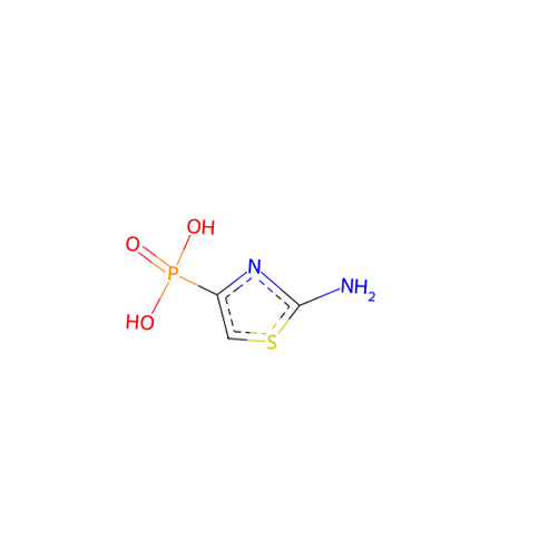 Nc1nc(P(=O)(O)O)cs1